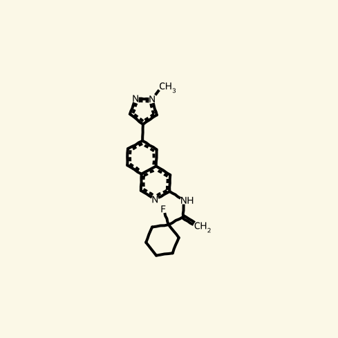 C=C(Nc1cc2cc(-c3cnn(C)c3)ccc2cn1)C1(F)CCCCC1